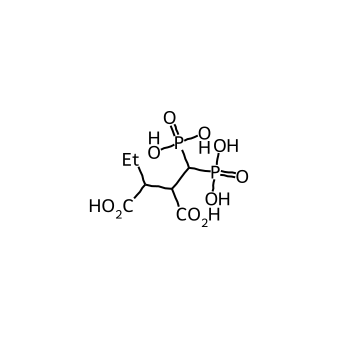 CCC(C(=O)O)C(C(=O)O)C(P(=O)(O)O)P(=O)(O)O